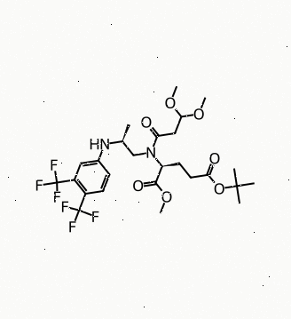 COC(=O)[C@H](CCC(=O)OC(C)(C)C)N(C[C@H](C)Nc1ccc(C(F)(F)F)c(C(F)(F)F)c1)C(=O)CC(OC)OC